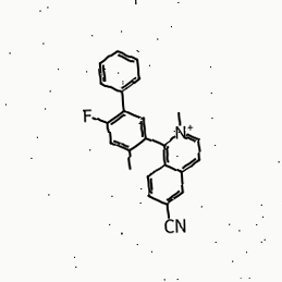 Cc1cc(F)c(-c2ccccc2)cc1-c1c2ccc(C#N)cc2cc[n+]1C